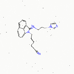 N#CCCCCN1/C(=N\CCCn2ccnc2)c2cccc3cccc1c23